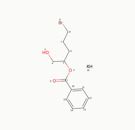 O=C(OC(CO)CCCBr)c1ccccc1.[KH]